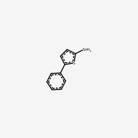 [SnH3][c]1ccc(-c2ccccc2)s1